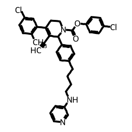 C#CC1=C(c2cc(Cl)ccc2C)CCN(C(=O)Oc2ccc(Cl)cc2)C1c1ccc(CCCCNc2cccnc2)cc1